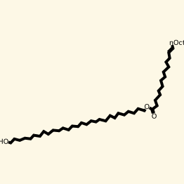 CCCCCCCCC=CCCCCCCCCCCCC(=O)OCCCCCCCCCCCCCCCCCCCCCCCCCCCCCO